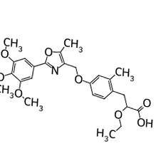 CCOC(Cc1ccc(OCc2nc(-c3cc(OC)c(OC)c(OC)c3)oc2C)cc1C)C(=O)O